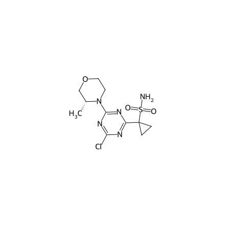 C[C@@H]1COCCN1c1nc(Cl)nc(C2(S(N)(=O)=O)CC2)n1